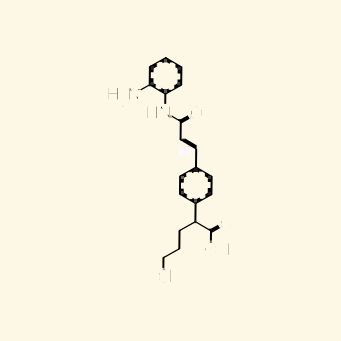 Nc1ccccc1NC(=O)/C=C/c1ccc(C(CCCCl)C(=O)O)cc1